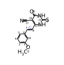 COc1cccc(/C=C/c2[nH]c(=S)[nH]c(=O)c2C#N)c1